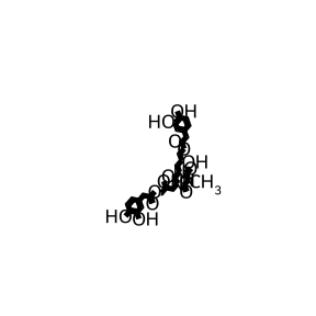 Cn1c(=O)n(CC(O)COC(=O)Cc2ccc(O)c(O)c2)c(=O)n(CC(O)COC(=O)Cc2ccc(O)c(O)c2)c1=O